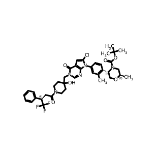 Cc1cc(-n2c(Cl)cc3c(=O)n(CC4(O)CCN(C(=O)C[C@H](c5ccccc5)C(F)(F)F)CC4)cnc32)ccc1[C@H]1CO[C@H](C)CN1C(=O)OC(C)(C)C